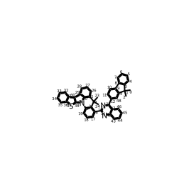 CC1(C)c2ccccc2-c2ccc(-c3nc(-c4cccc5c4C(C)(C)c4cccc6c7c8ccccc8sc7n-5c46)nc4ccccc34)cc21